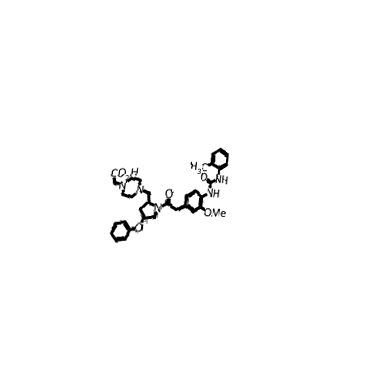 COc1cc(CC(=O)N2C[C@@H](Oc3ccccc3)CC2CN2CCN(CC(=O)O)CC2)ccc1NC(=O)Nc1ccccc1C